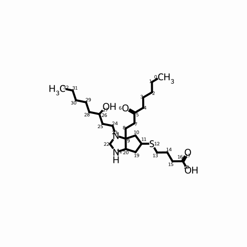 CCCCCC(=O)CCC12CC(SCCCC(=O)O)CC1NCN2CCC(O)CCCCC